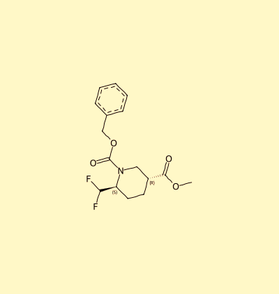 COC(=O)[C@@H]1CC[C@@H](C(F)F)N(C(=O)OCc2ccccc2)C1